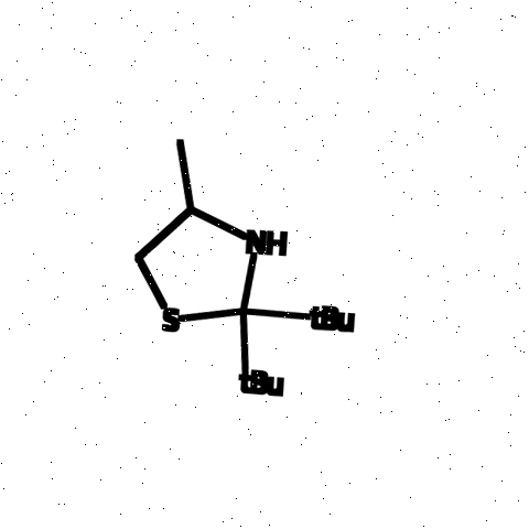 CC1CSC(C(C)(C)C)(C(C)(C)C)N1